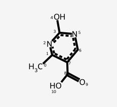 Cc1nc(O)ncc1C(=O)O